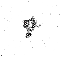 C#CC(C)Oc1cc(N2C(=O)C3=C(CCCC3)C2=O)c(F)cc1Cl.COc1nc(C)nc(NC(=O)NS(=O)(=O)c2cc(I)ccc2C(=O)O)n1.O=C(O)COc1ccc(Cl)c2cccnc12